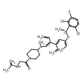 C=CC(=C\C(=C/C)O[C@@H](C)c1c(Cl)ccc(F)c1Cl)/C(C=C)=C/N(C)C1CCN(C(=O)CNC(=C)C)CC1